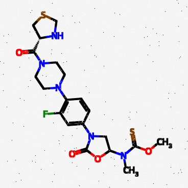 COC(=S)N(C)C1CN(c2ccc(N3CCN(C(=O)[C@@H]4CSCN4)CC3)c(F)c2)C(=O)O1